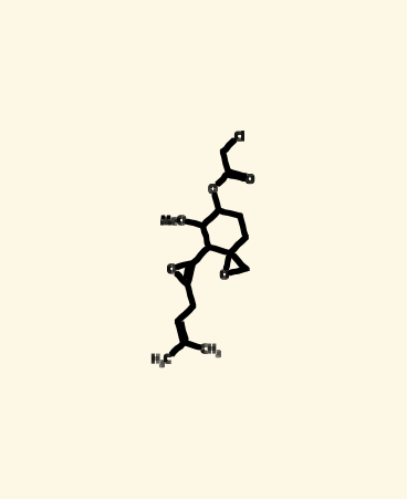 COC1C(OC(=O)CCl)CCC2(CO2)C1C1=C(CC=C(C)C)O1